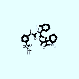 CNS(=O)(=O)c1cccc(NC(=O)NC(C(=O)NC(C(N)=O)(c2ccccc2)C(C)C)c2ccccc2Cl)c1